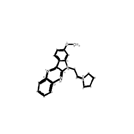 COc1ccc2c3nc4ccccc4nc3n(CCN3CCCC3)c2c1